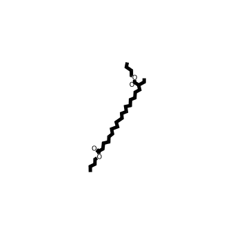 CCCCOC(=O)CCCCCCCCCCCCCCCCCC(CC)C(=O)OCCCC